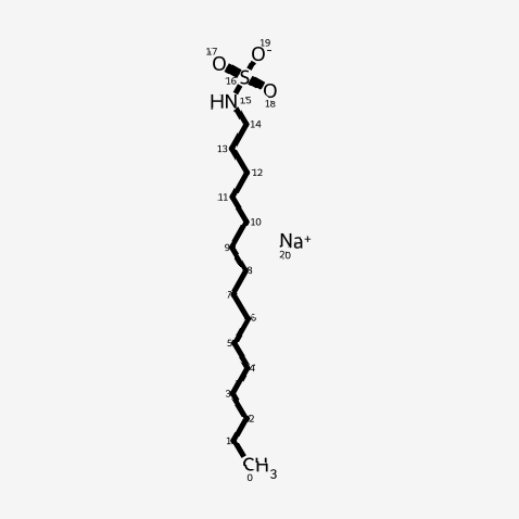 CCCCCCCCCCCCCCCNS(=O)(=O)[O-].[Na+]